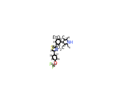 CCOC(=O)C1=C(C)NC(C)=C(C(=O)OCC)C1c1cccc(-c2nc(-c3ccc(OC(F)F)cc3)cs2)c1